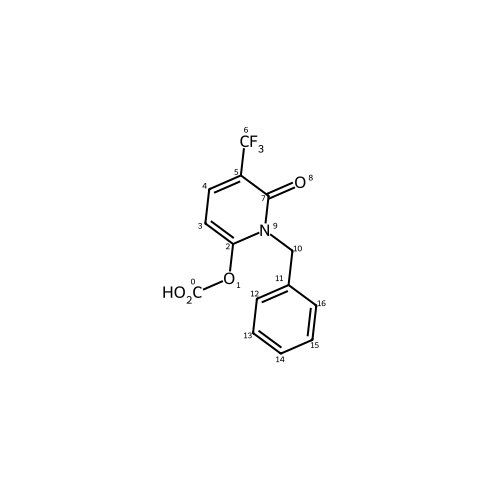 O=C(O)Oc1ccc(C(F)(F)F)c(=O)n1Cc1ccccc1